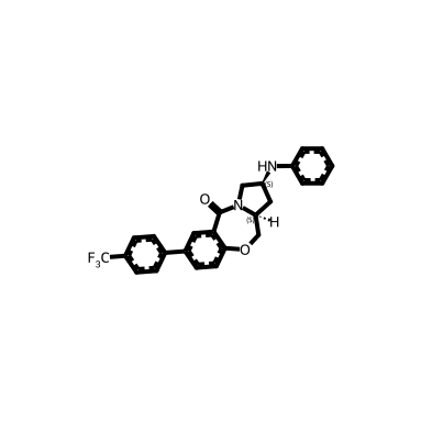 O=C1c2cc(-c3ccc(C(F)(F)F)cc3)ccc2OC[C@@H]2C[C@H](Nc3ccccc3)CN12